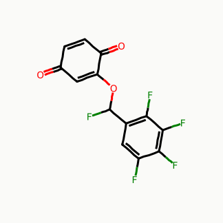 O=C1C=CC(=O)C(OC(F)c2cc(F)c(F)c(F)c2F)=C1